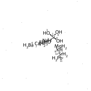 O[Si](O)(O)O.[AlH3].[BaH2].[CaH2].[KH].[MgH2].[NaH].[PbH2].[SrH2]